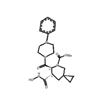 COC(=O)N1CC2(CC2)C[C@H](C(=O)NO)[C@H]1C(=O)N1CCN(c2ccccc2)CC1